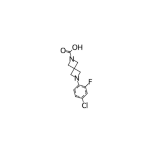 O=C(O)N1CC2(C1)CN(c1ccc(Cl)cc1F)C2